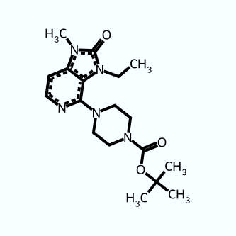 CCn1c(=O)n(C)c2ccnc(N3CCN(C(=O)OC(C)(C)C)CC3)c21